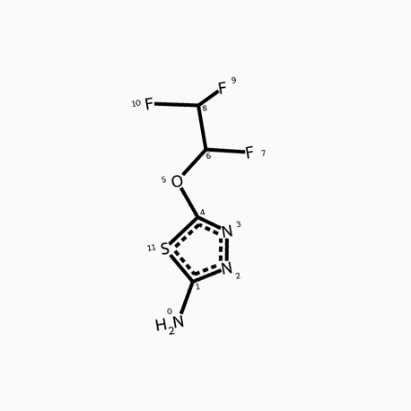 Nc1nnc(OC(F)C(F)F)s1